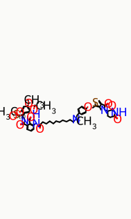 CCOc1cc([C@@H](CS(C)(=O)=O)N2C(=O)c3cccc(NC(=O)CCCCCCCCCCN(C)Cc4ccc(OCc5scc6c5CN(C5CCC(=O)NC5=O)C6=O)cc4)c3C2=O)ccc1OC